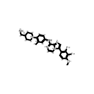 COc1ccc(-c2cnc3c(Nc4ccc(N5CCC(CN)CC5)c(C)c4)nccn23)c(F)c1F